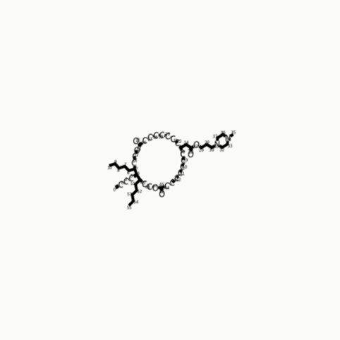 C=C=C=C=C1C(CCCCC)CCOC(=O)CCCCCCCC(CC(=O)OCCCN2CCN(C)CC2)CCCCCCCC(=O)OCCC1CCCCC